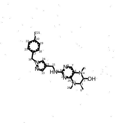 C[C@@H]1C(O)N(C)c2cnc(NCc3cnn(Cc4ccc(F)cc4)c3)nc2N1C